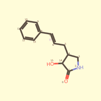 O=C1NCC(C/C=C/c2ccccc2)C1O